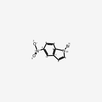 O=[N+]([O-])c1ccc2c(ccn2Br)c1